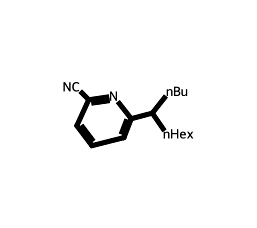 CCCCCCC(CCCC)c1cccc(C#N)n1